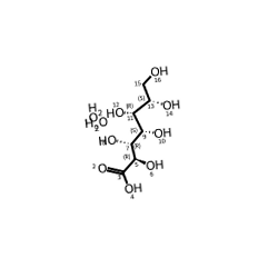 O.O.O=C(O)[C@H](O)[C@H](O)[C@@H](O)[C@H](O)[C@@H](O)CO